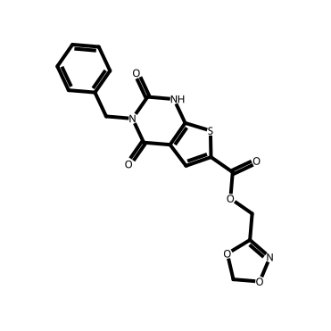 O=C(OCC1=NOCO1)c1cc2c(=O)n(Cc3ccccc3)c(=O)[nH]c2s1